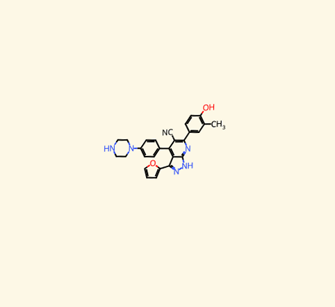 Cc1cc(-c2nc3[nH]nc(-c4ccco4)c3c(-c3ccc(N4CCNCC4)cc3)c2C#N)ccc1O